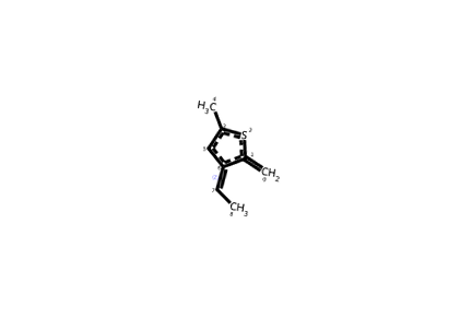 C=c1sc(C)c/c1=C/C